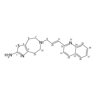 Nc1nc2c(s1)CCN(C/C=C/c1ccc3ccccc3n1)CC2